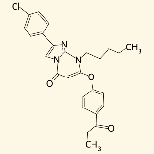 CCCCCn1c(Oc2ccc(C(=O)CC)cc2)cc(=O)n2cc(-c3ccc(Cl)cc3)nc12